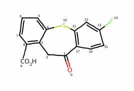 O=C1Cc2c(cccc2C(=O)O)Sc2cc(F)ccc21